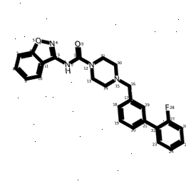 O=C(Nc1noc2ccccc12)N1CCN(Cc2cccc(-c3ccccc3F)c2)CC1